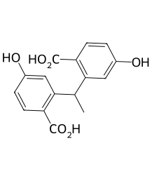 CC(c1cc(O)ccc1C(=O)O)c1cc(O)ccc1C(=O)O